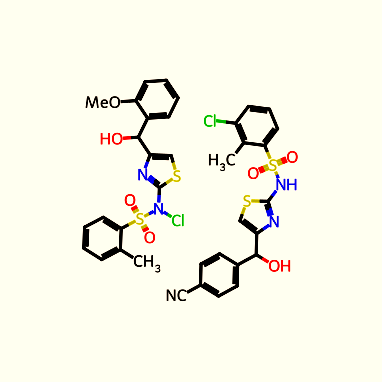 COc1ccccc1C(O)c1csc(N(Cl)S(=O)(=O)c2ccccc2C)n1.Cc1c(Cl)cccc1S(=O)(=O)Nc1nc(C(O)c2ccc(C#N)cc2)cs1